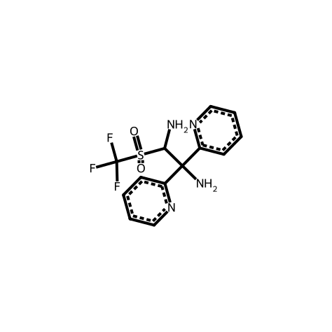 NC(C(N)(c1ccccn1)c1ccccn1)S(=O)(=O)C(F)(F)F